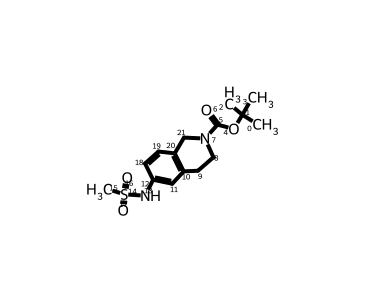 CC(C)(C)OC(=O)N1CCc2cc(NS(C)(=O)=O)ccc2C1